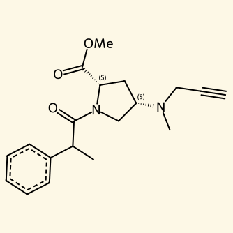 C#CCN(C)[C@H]1C[C@@H](C(=O)OC)N(C(=O)C(C)c2ccccc2)C1